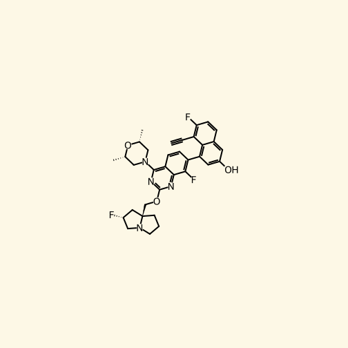 C#Cc1c(F)ccc2cc(O)cc(-c3ccc4c(N5C[C@@H](C)O[C@@H](C)C5)nc(OC[C@@]56CCCN5C[C@H](F)C6)nc4c3F)c12